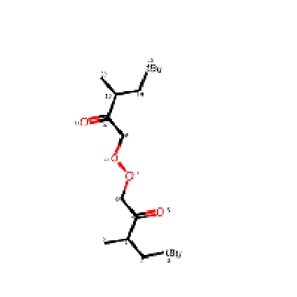 CC(CC(C)(C)C)C(=O)COOCC(=O)C(C)CC(C)(C)C